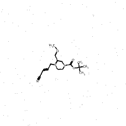 COCC1CN(C(=O)OC(C)(C)C)CCN1C/C=C/C#N